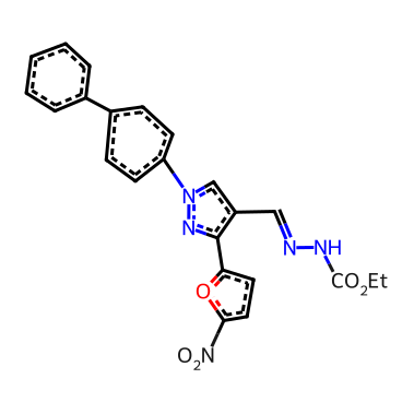 CCOC(=O)NN=Cc1cn(-c2ccc(-c3ccccc3)cc2)nc1-c1ccc([N+](=O)[O-])o1